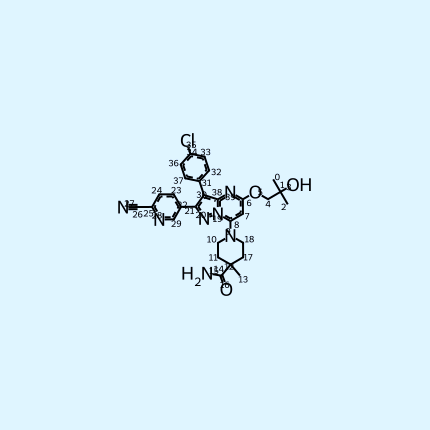 CC(C)(O)COc1cc(N2CCC(C)(C(N)=O)CC2)n2nc(-c3ccc(C#N)nc3)c(-c3ccc(Cl)cc3)c2n1